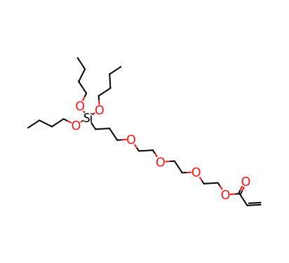 C=CC(=O)OCCOCCOCCOCCC[Si](OCCCC)(OCCCC)OCCCC